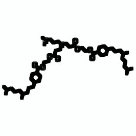 CC(C)CCCC(C)CCCC1CCC(C(=O)OCCOC(=O)CCN(CCCN(C)C)CCC(=O)OCCOC(=O)C2CCC(CCCC(C)CCCC(C)C)CC2)CC1